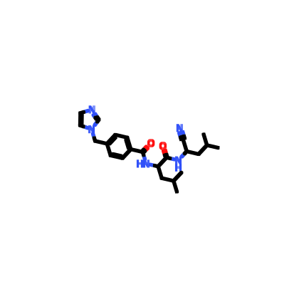 CC(C)CC(C#N)NC(=O)C(CC(C)C)NC(=O)c1ccc(Cn2ccnc2)cc1